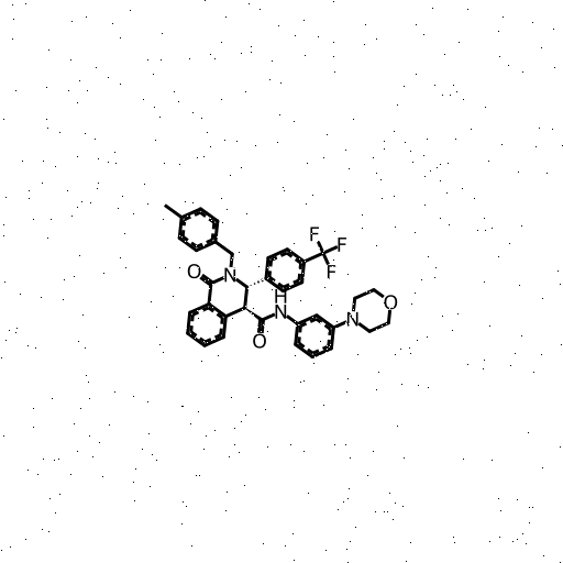 Cc1ccc(CN2C(=O)c3ccccc3[C@H](C(=O)Nc3cccc(N4CCOCC4)c3)[C@H]2c2ccc(C(F)(F)F)cc2)cc1